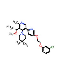 Cc1ncc(-c2ccc(OCCOc3cccc(Cl)c3)cn2)c(N2CCC(C)(C)CC2)c1[C@H](OC(C)(C)C)C(=O)O